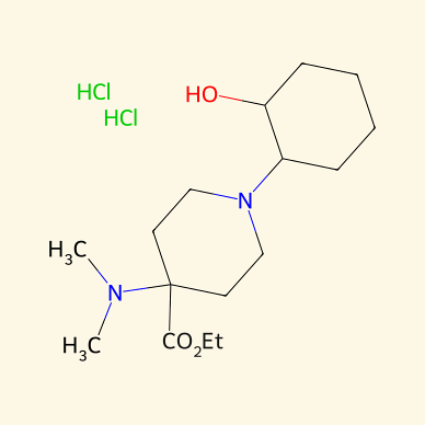 CCOC(=O)C1(N(C)C)CCN(C2CCCCC2O)CC1.Cl.Cl